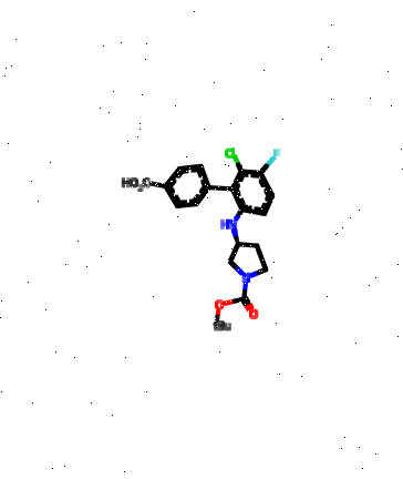 CC(C)(C)OC(=O)N1CC[C@H](Nc2ccc(F)c(Cl)c2-c2ccc(C(=O)O)cc2)C1